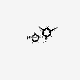 Fc1cc(F)c([C@@H]2CCNC2)c(F)c1